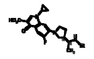 CCN[C@@H](C)[C@@H]1CCN(c2cc3c(cc2F)c(=O)c(C(=O)O)cn3C2CC2)C1